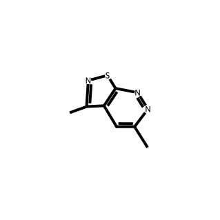 Cc1cc2c(C)nsc2nn1